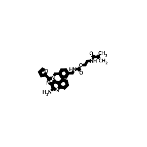 C=C(C)C(=O)NCCOC(=O)NCc1ccc(Cn2c(-c3ccco3)nc3c(N)nc4ccccc4c32)cc1